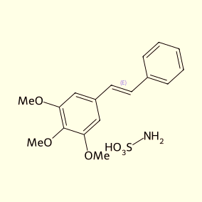 COc1cc(/C=C/c2ccccc2)cc(OC)c1OC.NS(=O)(=O)O